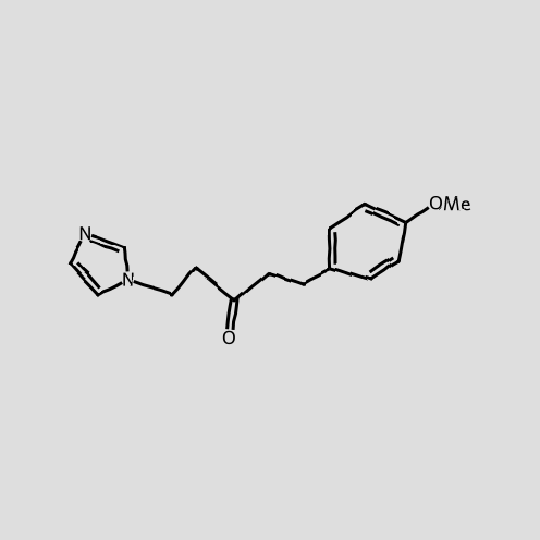 COc1ccc(CCC(=O)CCn2ccnc2)cc1